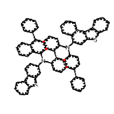 c1ccc(-c2ccc(N(c3ccccc3-c3ccccc3N(c3ccc4c(c3)sc3ccccc34)c3ccc(-c4ccccc4)c4ccccc34)c3cc4sc5ccccc5c4c4ccccc34)cc2)cc1